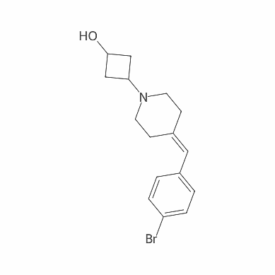 OC1CC(N2CCC(=Cc3ccc(Br)cc3)CC2)C1